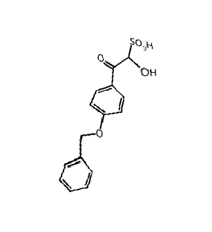 O=C(c1ccc(OCc2ccccc2)cc1)C(O)S(=O)(=O)O